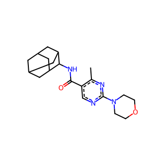 Cc1nc(N2CCOCC2)ncc1C(=O)NC1C2CC3CC(C2)CC1C3